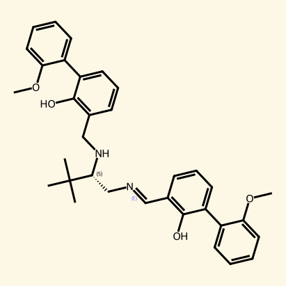 COc1ccccc1-c1cccc(/C=N/C[C@@H](NCc2cccc(-c3ccccc3OC)c2O)C(C)(C)C)c1O